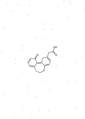 O=C(O)CC1=CC=C2OCCC3=CC=CC(=O)C3=C2C1